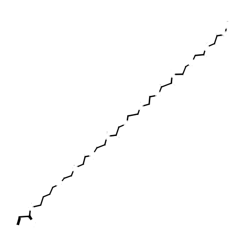 C=CC(=O)OCCCCOCCOCCOCCOCCOCCOCCOCCOCCOCCOCCOO